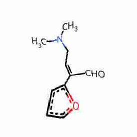 CN(C)CC=C(C=O)c1ccco1